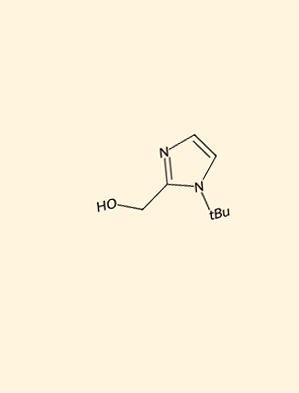 CC(C)(C)n1ccnc1CO